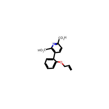 C=CCOc1ccccc1-c1ccc(C(=O)O)nc1C(=O)O